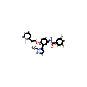 Cn1nccc1-c1cc(NC(=O)c2cc(F)cc(F)c2)ccc1OCCC1CCCCN1